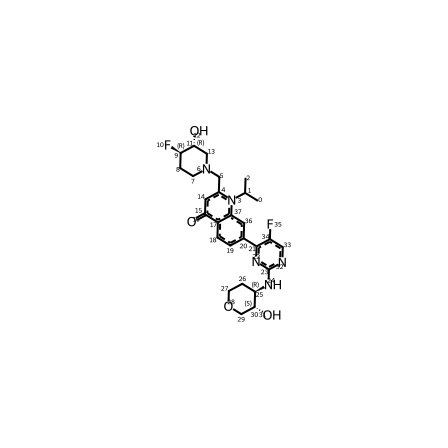 CC(C)n1c(CN2CC[C@@H](F)[C@H](O)C2)cc(=O)c2ccc(-c3nc(N[C@@H]4CCOC[C@H]4O)ncc3F)cc21